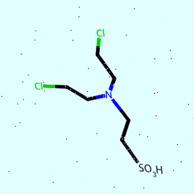 O=S(=O)(O)CCN(CCCl)CCCl